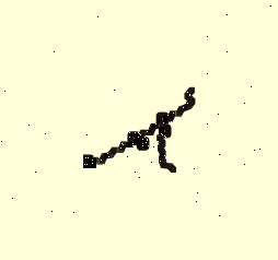 CC/C=C\CCCCOC(CCCC(=O)OCCCCCCCBr)OCCCC/C=C\CC